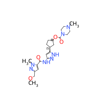 COCc1cc(C(=O)Nc2cc([C@H]3CC[C@@H](OC(=O)N4CCN(C)CC4)C3)[nH]n2)n(C)n1